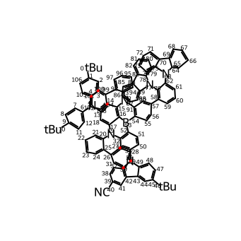 CC(C)(C)c1ccc(N(c2ccc(C(C)(C)C)cc2)c2cc3c4c(c2)N(c2ccccc2-c2ccccc2)c2cc(-n5c6ccc(C#N)cc6c6cc(C(C)(C)C)ccc65)ccc2B4c2ccc(-c4cccc(-n5c6ccccc6c6ccccc65)c4-n4c5ccccc5c5ccccc54)cc2N3c2ccccc2-c2ccccc2)cc1